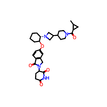 CC1CC1C(=O)N1CCC(C2CN([C@H]3CCCC[C@@H]3Oc3ccc4c(c3)CN(C3CCC(=O)NC3=O)C4=O)C2)CC1